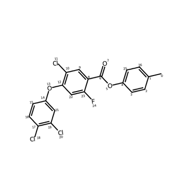 Cc1ccc(OC(=O)c2cc(Cl)c(Oc3ccc(Cl)c(Cl)c3)cc2F)cc1